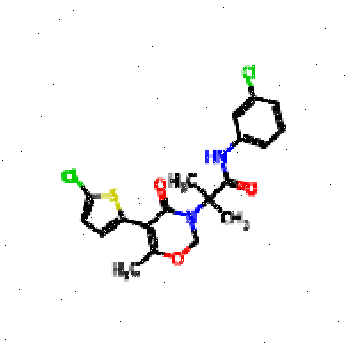 CC1=C(c2ccc(Cl)s2)C(=O)N(C(C)(C)C(=O)Nc2cccc(Cl)c2)CO1